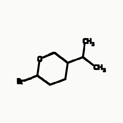 CC(C)C1CCC(Br)OC1